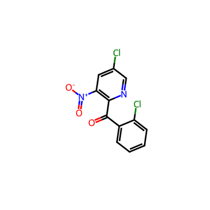 O=C(c1ccccc1Cl)c1ncc(Cl)cc1[N+](=O)[O-]